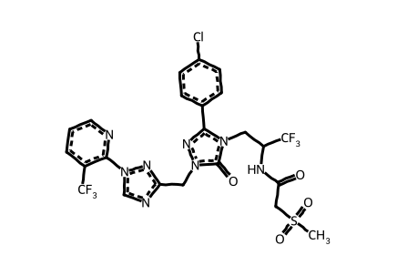 CS(=O)(=O)CC(=O)NC(Cn1c(-c2ccc(Cl)cc2)nn(Cc2ncn(-c3ncccc3C(F)(F)F)n2)c1=O)C(F)(F)F